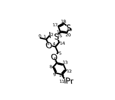 CC(I)OC(COc1ccc(C(C)C)cc1)CSc1ccsc1